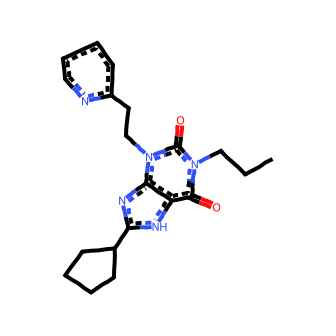 CCCn1c(=O)c2[nH]c(C3CCCC3)nc2n(CCc2ccccn2)c1=O